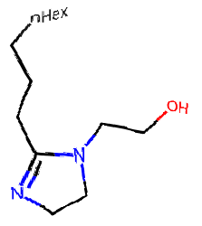 CCCCCCCCCC1=NCCN1CCO